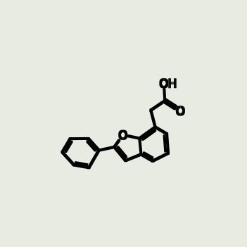 O=C(O)Cc1cccc2cc(-c3ccccc3)oc12